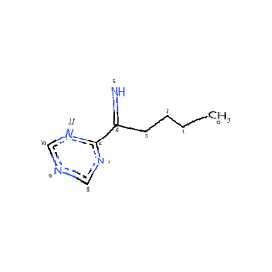 CCCCC(=N)c1ncncn1